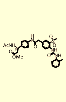 COC(=O)C[C@@H](NC(C)=O)c1ccc(NC(=O)Cc2ccc(NC(=O)Nc3ccccc3C)c(S(C)(=O)=O)c2)cc1